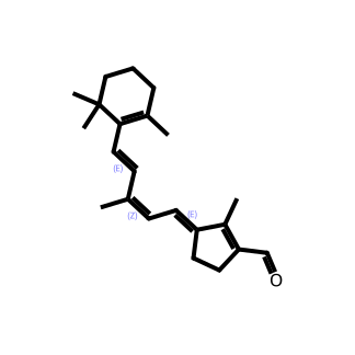 CC1=C(/C=C/C(C)=C\C=C2/CCC(C=O)=C2C)C(C)(C)CCC1